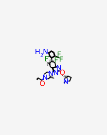 C=CC(=O)N1CCN(c2nc(OC[C@@H]3CCCN3C)nc3c2C[C@H](C)[C@@H](c2c(C(F)(F)F)ccc(N)c2F)C3)[C@@H](C)C1